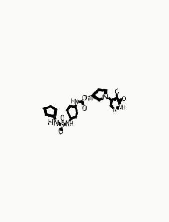 O=C(NC1CCC(NS(=O)(=O)NC2CCCC2)CC1)O[C@@H]1CCN(c2cn[nH]c(=O)c2Cl)C1